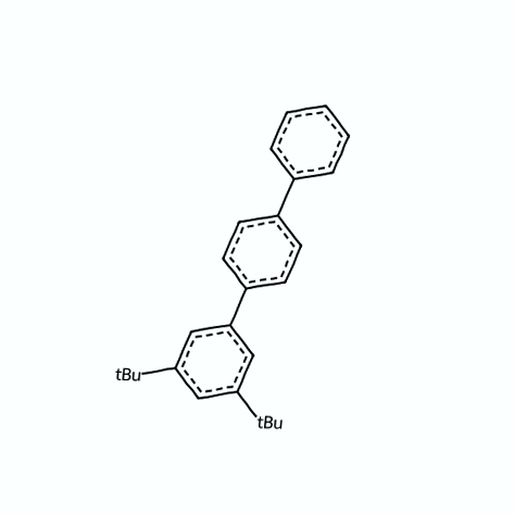 CC(C)(C)c1cc(-c2ccc(-c3ccccc3)cc2)cc(C(C)(C)C)c1